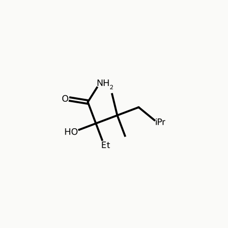 CCC(O)(C(N)=O)C(C)(C)CC(C)C